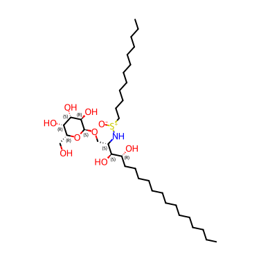 CCCCCCCCCCCCCC[C@@H](O)[C@@H](O)[C@H](CO[C@H]1O[C@H](CO)[C@H](O)[C@H](O)[C@H]1O)N[S+]([O-])CCCCCCCCCCCC